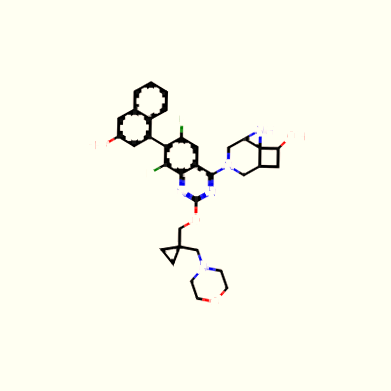 Oc1cc(-c2c(F)cc3c(N4CC5CC(O)C56NC6C4)nc(OCC4(CN5CCOCC5)CC4)nc3c2F)c2ccccc2c1